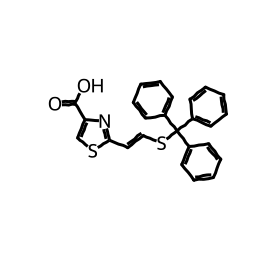 O=C(O)c1csc(C=CSC(c2ccccc2)(c2ccccc2)c2ccccc2)n1